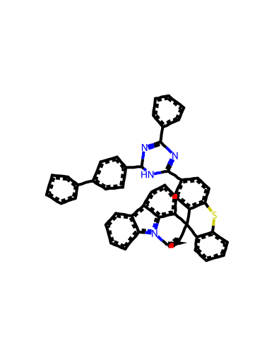 c1ccc(C2=NC(c3ccc(-c4ccccc4)cc3)NC(c3ccc4c(c3)C3(c5ccccc5S4)c4ccccc4-n4c5ccccc5c5cccc3c54)=N2)cc1